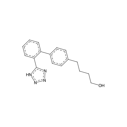 OCCCCc1ccc(-c2ccccc2-c2nnn[nH]2)cc1